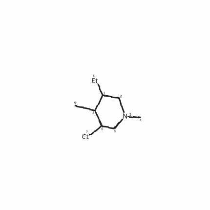 CCC1CN(C)CC(CC)C1C